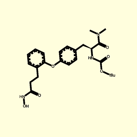 CN(C)C(=O)[C@H](Cc1ccc(Oc2ccccc2CCC(=O)NO)cc1)NC(=O)OC(C)(C)C